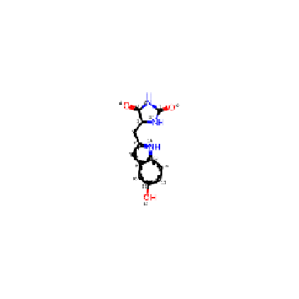 O=C1NC(=O)C(Cc2cc3cc(O)ccc3[nH]2)N1